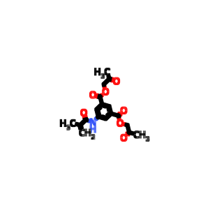 C=C(C)C(=O)Nc1cc(C(=O)OCC(C)=O)cc(C(=O)OCC(C)=O)c1